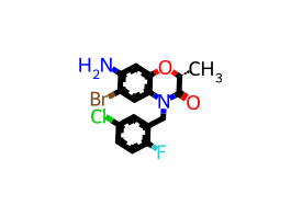 C[C@H]1Oc2cc(N)c(Br)cc2N(Cc2cc(Cl)ccc2F)C1=O